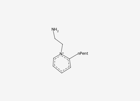 CCCCCc1cccc[n+]1CCN